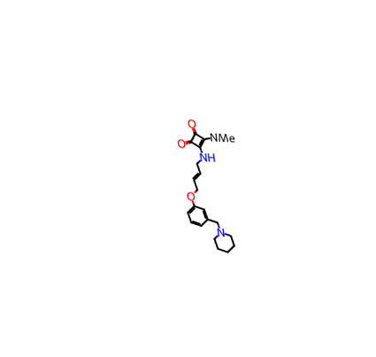 CNc1c(NCC=CCOc2cccc(CN3CCCCC3)c2)c(=O)c1=O